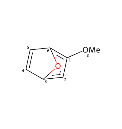 COc1cc2ccc1o2